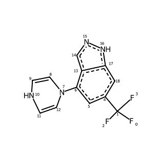 FC(F)(F)c1cc(N2C=CNC=C2)c2cn[nH]c2c1